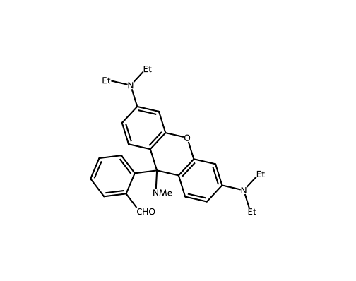 CCN(CC)c1ccc2c(c1)Oc1cc(N(CC)CC)ccc1C2(NC)c1ccccc1C=O